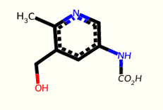 Cc1ncc(NC(=O)O)cc1CO